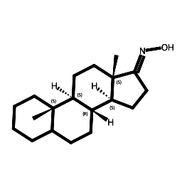 C[C@]12CCCCC1CC[C@@H]1[C@@H]2CC[C@]2(C)C(=NO)CC[C@@H]12